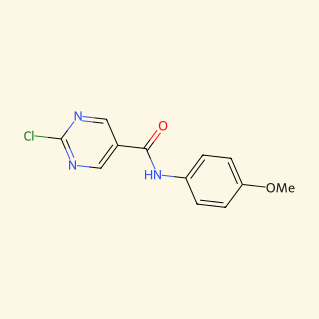 COc1ccc(NC(=O)c2cnc(Cl)nc2)cc1